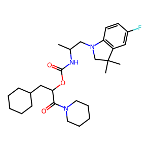 CC(CN1CC(C)(C)c2cc(F)ccc21)NC(=O)OC(CC1CCCCC1)C(=O)N1CCCCC1